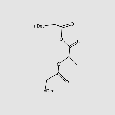 CCCCCCCCCCCC(=O)OC(=O)C(C)OC(=O)CCCCCCCCCCC